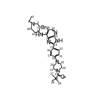 CCN1CCC(Nc2c(Br)cnc3[nH]c(-c4ccc(N5CCN(C(=O)C(C)(C)C)CC5)cc4)nc23)CC1